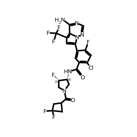 Nc1ncnn2c(-c3cc(C(=O)N[C@@H]4CN(C(=O)C5CC(F)(F)C5)C[C@@H]4F)c(Cl)cc3F)cc(C(F)(F)F)c12